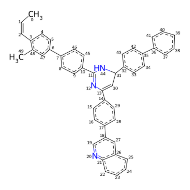 C/C=C\c1ccc(-c2ccc(C3=NC(c4ccc(-c5cnc6ccccc6c5)cc4)=CC(c4ccc(-c5ccccc5)cc4)N3)cc2)cc1C